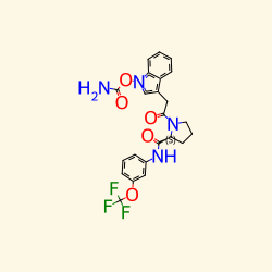 NC(=O)On1cc(CC(=O)N2CCC[C@H]2C(=O)Nc2cccc(OC(F)(F)F)c2)c2ccccc21